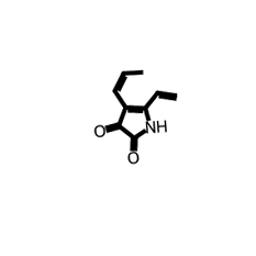 C=CC1=C(/C=C\C)C(=O)C(=O)N1